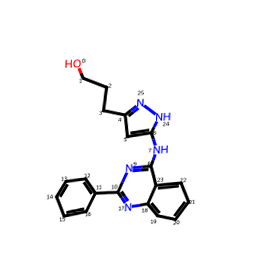 OCCCc1cc(Nc2nc(-c3ccccc3)nc3ccccc23)[nH]n1